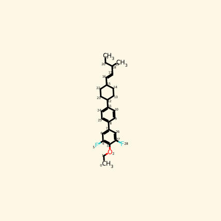 CCOc1c(F)cc(-c2ccc(C3CCC(C=CC(C)CC)CC3)cc2)cc1F